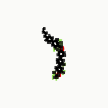 CCCCc1ccc(-c2cc(F)c(C(F)(F)Oc3ccc(-c4ccc(-c5ccc(OC(F)(F)F)c(F)c5)c(F)c4)cc3)c(F)c2)cc1